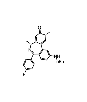 CCCCNc1ccc2c(c1)-c1cn(C)c(=O)cc1[C@H](C)N=C2c1ccc(F)cc1